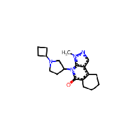 Cn1ncc2c3c(c(=O)n(C4CCN(C5CCC5)C4)c21)CCCC3